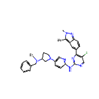 CCN(Cc1ccccc1)C1CCN(c2ccc(Nc3ncc(F)c(-c4ccc5nn(C)c(C(C)C)c5c4)n3)nc2)C1